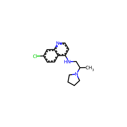 CC(CNc1ccnc2cc(Cl)ccc12)N1CCCC1